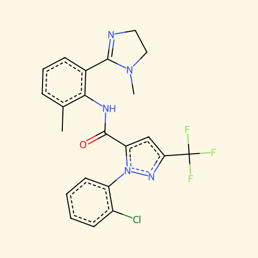 Cc1cccc(C2=NCCN2C)c1NC(=O)c1cc(C(F)(F)F)nn1-c1ccccc1Cl